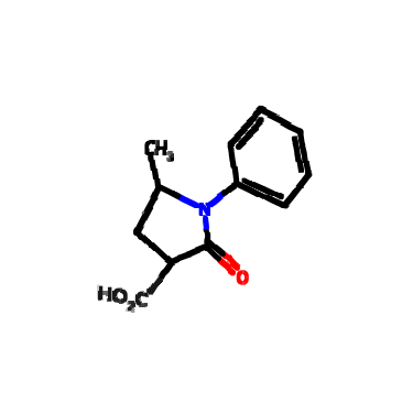 CC1CC(C(=O)O)C(=O)N1c1ccccc1